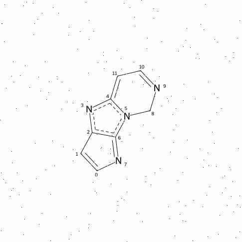 C1=Cc2nc3n(c2=N1)CN=CC=3